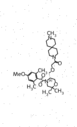 COc1cc(C)c(S(=O)(=O)N2CC(C)(C)OC[C@H]2COCC(=O)N2CCC3(CCN(C)CC3)CC2)c(C)c1